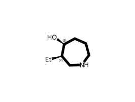 CC[C@@H]1CNCCC[C@@H]1O